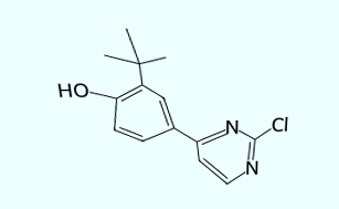 CC(C)(C)c1cc(-c2ccnc(Cl)n2)ccc1O